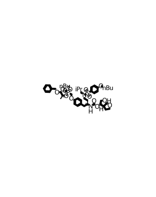 CCCCOc1ccc(S(=O)(=O)N(CC[C@H](Cc2ccc(OCP(=O)(OCCCC)O[C@@H](C)C(=O)OCc3ccccc3)cc2)NC(=O)O[C@H]2CO[C@H]3OCC[C@H]32)CC(C)C)cc1